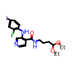 CCOC(CCCNC(=O)c1ccncc1Nc1ccc(I)cc1F)OCC